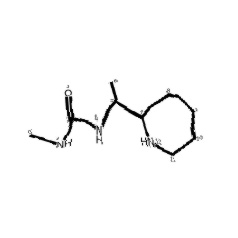 CNC(=O)NC(C)C1CCCCN1